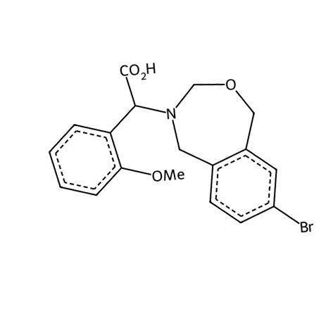 COc1ccccc1C(C(=O)O)N1COCc2cc(Br)ccc2C1